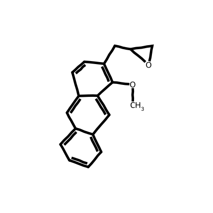 COc1c(CC2CO2)ccc2cc3ccccc3cc12